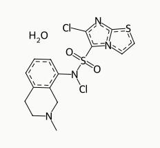 CN1CCc2cccc(N(Cl)S(=O)(=O)c3c(Cl)nc4sccn34)c2C1.O